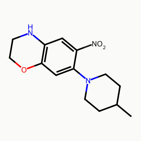 CC1CCN(c2cc3c(cc2[N+](=O)[O-])NCCO3)CC1